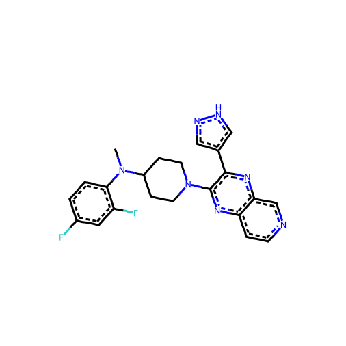 CN(c1ccc(F)cc1F)C1CCN(c2nc3ccncc3nc2-c2cn[nH]c2)CC1